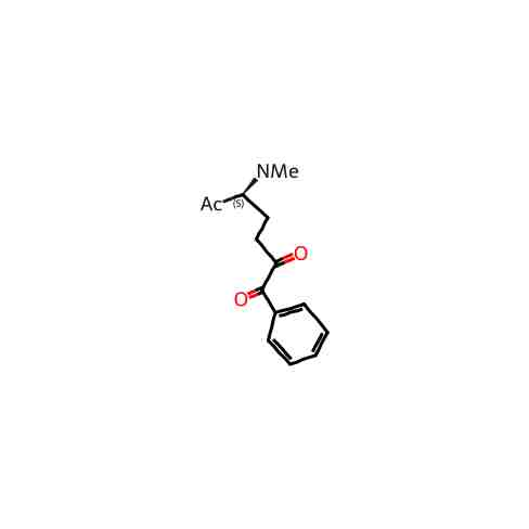 CN[C@@H](CCC(=O)C(=O)c1ccccc1)C(C)=O